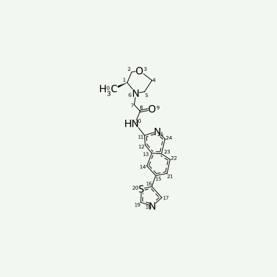 C[C@H]1COCCN1CC(=O)Nc1cc2cc(-c3cncs3)ccc2cn1